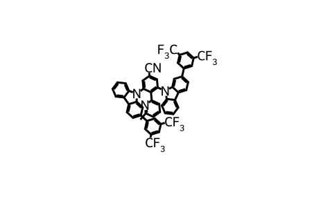 Cc1cccc(-c2c(-n3c4ccccc4c4ccc(-c5cc(C(F)(F)F)cc(C(F)(F)F)c5)cc43)cc(C#N)cc2-n2c3ccccc3c3ccc(-c4cc(C(F)(F)F)cc(C(F)(F)F)c4)cc32)n1